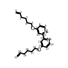 C=CCCCCOc1ccnc(-c2cc(OCCCCC=C)ccn2)c1